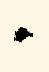 N#Cc1ccc(C2C3=C(CCCC3=O)NC3=C2C(=O)c2cn[nH]c2C3=O)cc1